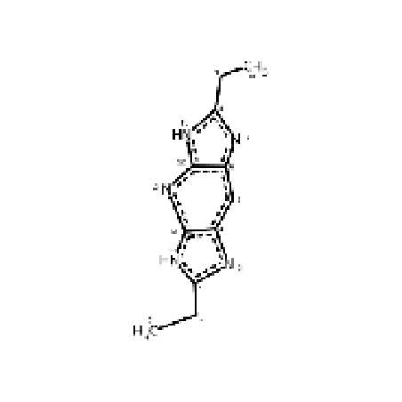 CCc1nc2cc3nc(CC)[nH]c3nc2[nH]1